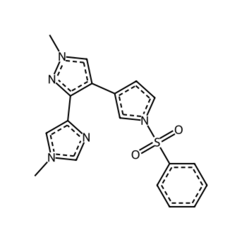 Cn1cnc(-c2nn(C)cc2-c2ccn(S(=O)(=O)c3ccccc3)c2)c1